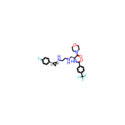 O=C(N[C@@H](CNCCN[C@@H]1C[C@H]1c1ccc(F)cc1)C(=O)N1CCOCC1)c1ccc(C(F)(F)F)cc1